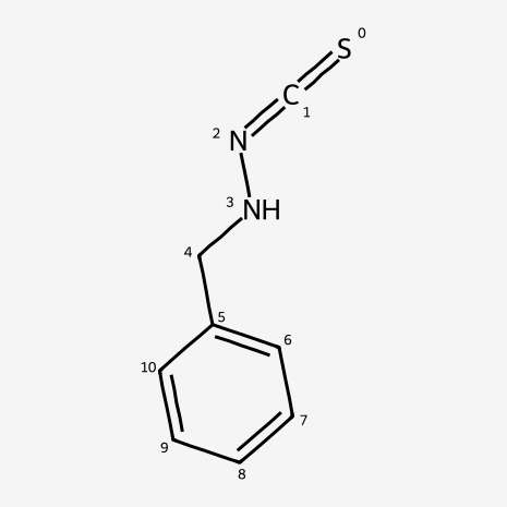 S=C=NNCc1ccccc1